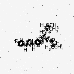 CC(C)(C)OC(=O)NCCN(C1CN(C(=O)OC(C)(C)C)C1)S(=O)(=O)c1ccc(Nc2nccc(Nc3ccc(F)cc3)n2)cc1